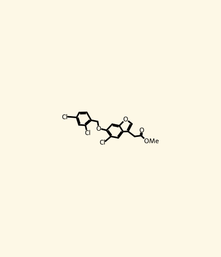 COC(=O)Cc1coc2cc(OCc3ccc(Cl)cc3Cl)c(Cl)cc12